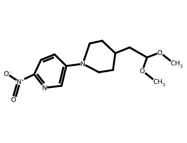 COC(CC1CCN(c2ccc([N+](=O)[O-])nc2)CC1)OC